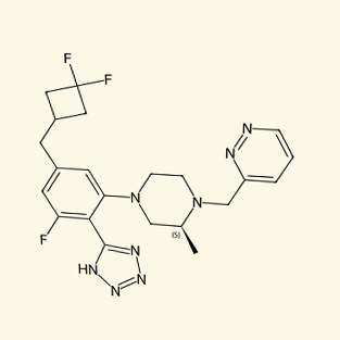 C[C@H]1CN(c2cc(CC3CC(F)(F)C3)cc(F)c2-c2nnn[nH]2)CCN1Cc1cccnn1